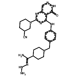 N#CC1CCCN(c2nc(Nc3ccc(CN4CCC(/C(N)=N/NN)CC4)cc3)c3c(=O)[nH]ncc3n2)C1